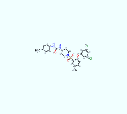 Cc1ccc(NC(=O)NC2CCN(S(=O)(=O)c3cc(C#N)ccc3Oc3cc(Cl)cc(Cl)c3)CC2)cc1